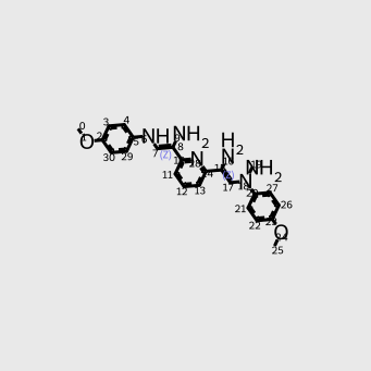 COc1ccc(N/C=C(\N)c2cccc(/C(N)=C/N(N)c3ccc(OC)cc3)n2)cc1